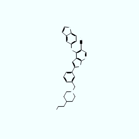 N#Cc1cnc2sc(-c3cccc(CN4CCC(CCO)CC4)c3)cc2c1Nc1ccc2[nH]ccc2c1